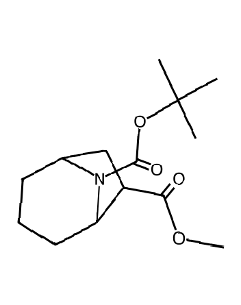 COC(=O)C1CC2CCCC1N2C(=O)OC(C)(C)C